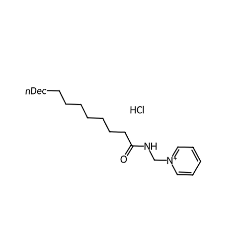 CCCCCCCCCCCCCCCCCC(=O)NC[n+]1ccccc1.Cl